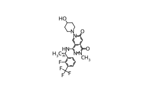 C[C@@H](Nc1nn(C)c(=O)c2cc(=O)n(N3CCC(O)CC3)cc12)c1cccc(C(F)(F)F)c1F